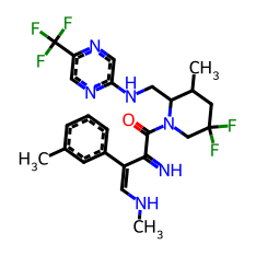 CN/C=C(\C(=N)C(=O)N1CC(F)(F)CC(C)C1CNc1cnc(C(F)(F)F)cn1)c1cccc(C)c1